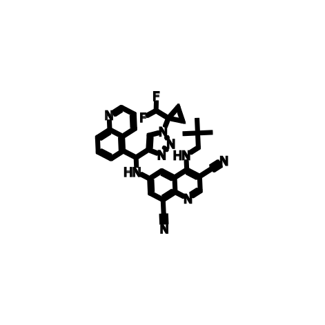 CC(C)(C)CNc1c(C#N)cnc2c(C#N)cc(NC(c3cn(C4(C(F)F)CC4)nn3)c3cccc4ncccc34)cc12